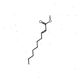 CCCCCCCC=CC(=O)OC